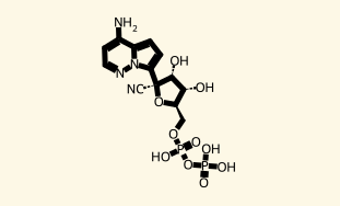 N#C[C@@]1(c2ccc3c(N)ccnn23)O[C@H](COP(=O)(O)OP(=O)(O)O)[C@@H](O)[C@H]1O